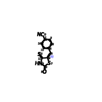 N#Cc1ccc(/C=C2/SC(=O)NC2=S)cc1